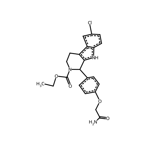 CCOC(=O)N1CCc2c([nH]c3ccc(Cl)cc23)C1c1ccc(OCC(N)=O)cc1